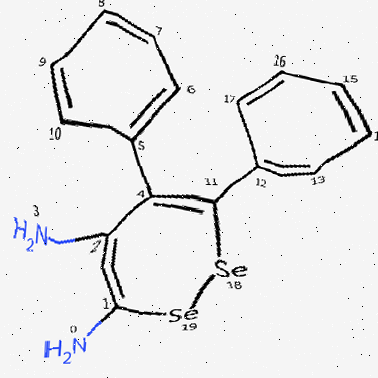 NC1=C(N)C(c2ccccc2)=C(c2ccccc2)[Se][Se]1